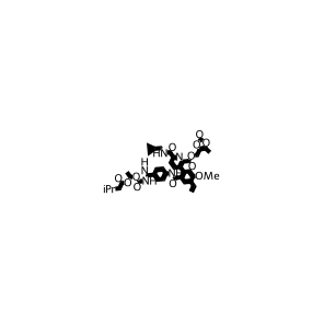 C=Cc1cc(C(=O)Nc2ccc(C(=N)NC(=O)OC(C)OC(=O)CC(C)C)cc2)c(-c2ccc(C(=O)NCC3CC3)nc2C(=O)OCc2oc(=O)oc2C)cc1OC